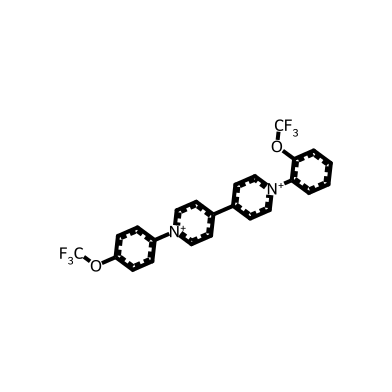 FC(F)(F)Oc1ccc(-[n+]2ccc(-c3cc[n+](-c4ccccc4OC(F)(F)F)cc3)cc2)cc1